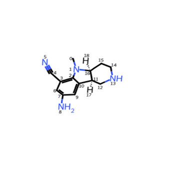 CN1c2c(C#N)cc(N)cc2[C@@H]2CNCC[C@@H]21